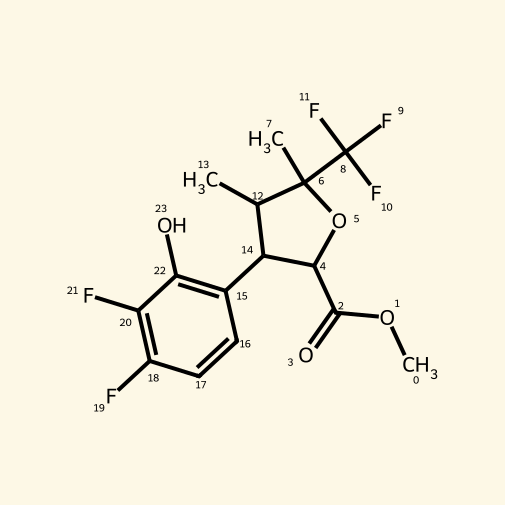 COC(=O)C1OC(C)(C(F)(F)F)C(C)C1c1ccc(F)c(F)c1O